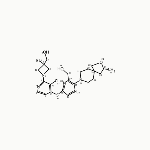 CCC1(CO)CN(c2nccc(Sc3cnc(N4CCC5(CC4)CO[C@@H](C)C5)c(CO)n3)c2Cl)C1